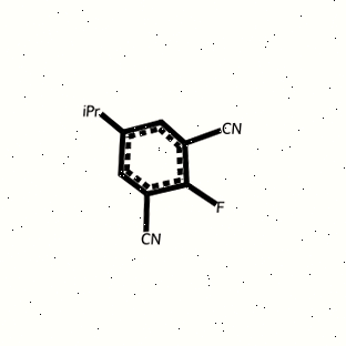 CC(C)c1cc(C#N)c(F)c(C#N)c1